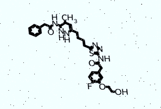 CC1C=C(CCCCc2nnc(NC(=O)Cc3ccc(F)c(OCCO)c3)s2)NNC1NC(=O)Cc1ccccc1